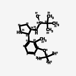 [2H]C([2H])([2H])Oc1cccc([C@H]2NCC[C@H]2N[S@+]([O-])C(C)(C)C)c1C